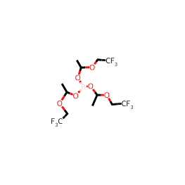 CC(OCC(F)(F)F)OB(OC(C)OCC(F)(F)F)OC(C)OCC(F)(F)F